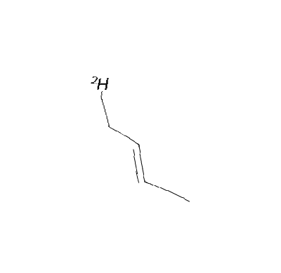 [2H]CC=CC